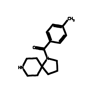 Cc1ccc(C(=O)N2CCCC23CCNCC3)cc1